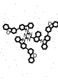 c1ccc2c(c1)oc1ccc(-c3ccc4c5ccccc5n(-c5nc(-c6ccc(-n7c8ccccc8c8ccc(-c9ccc%10oc%11ccccc%11c%10c9)cc87)c7ccccc67)nc(-n6c7ccccc7c7ccc(-c8ccc9oc%10ccccc%10c9c8)cc76)n5)c4c3)cc12